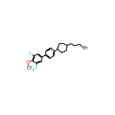 CC(C)CCCC1CCC(c2ccc(-c3cc(F)c(OC(F)(F)F)c(F)c3)cc2)CC1